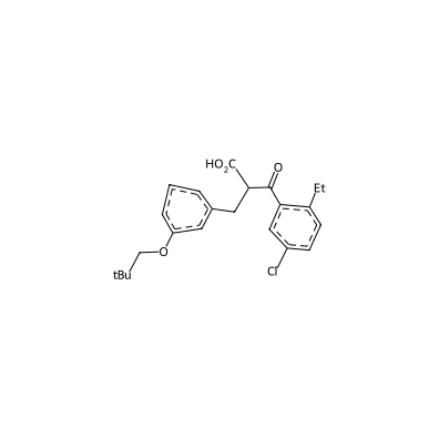 CCc1ccc(Cl)cc1C(=O)C(Cc1cccc(OCC(C)(C)C)c1)C(=O)O